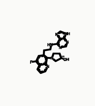 O[C@@H]1CCN(c2c(CCNc3ncnc4[nH]cnc34)cc(F)c3cccnc23)C1